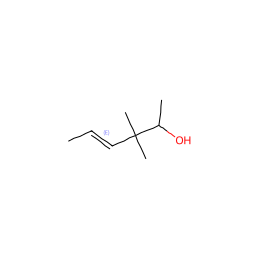 C/C=C/C(C)(C)C(C)O